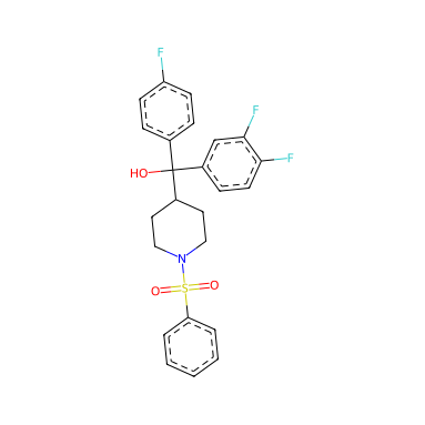 O=S(=O)(c1ccccc1)N1CCC(C(O)(c2ccc(F)cc2)c2ccc(F)c(F)c2)CC1